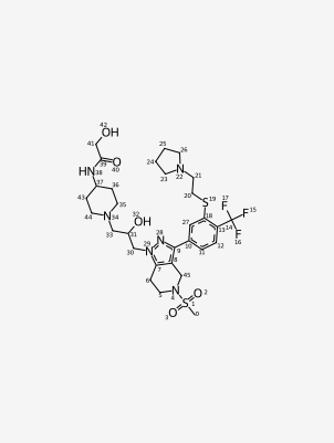 CS(=O)(=O)N1CCc2c(c(-c3ccc(C(F)(F)F)c(SCCN4CCCC4)c3)nn2CC(O)CN2CCC(NC(=O)CO)CC2)C1